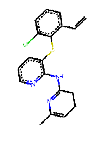 C=Cc1cccc(Cl)c1Sc1cccnc1NC1=NC(C)=CCC1